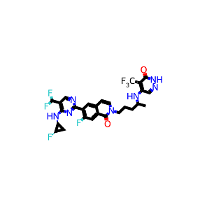 CC(CCCn1ccc2cc(-c3ncc(C(F)F)c(N[C@@H]4C[C@@H]4F)n3)c(F)cc2c1=O)Nc1cn[nH]c(=O)c1C(F)(F)F